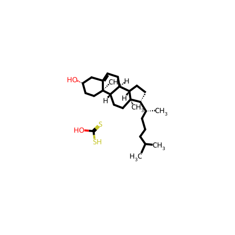 CC(C)CCC[C@@H](C)[C@H]1CC[C@H]2[C@@H]3CC=C4C[C@@H](O)CC[C@]4(C)[C@H]3CC[C@]12C.OC(=S)S